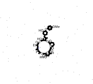 CCC1/C=C(\C)C(F)C(C)CC(OC)C2OC(O)(C(=O)C(=O)N3CCCCC3C(=O)OC(C(C)=CC3CCC(Oc4ccc(OC)cc4)C(O)C3)C(C)C(O)CC1=O)C(C)CC2OC